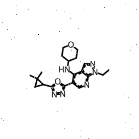 CCn1ncc2c(NC3CCOCC3)c(-c3nnc(C4CC4(C)C)o3)cnc21